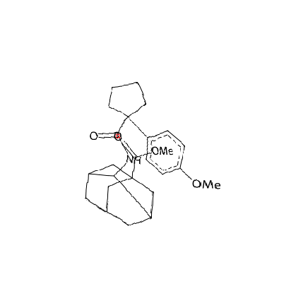 COC(=O)C12CC3CC(C1)C(NC(=O)C1(c4ccc(OC)cc4)CCCC1)C(C3)C2